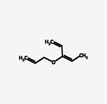 C=CCO/C(C=C)=C/C